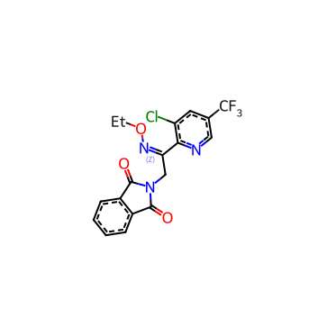 CCO/N=C(/CN1C(=O)c2ccccc2C1=O)c1ncc(C(F)(F)F)cc1Cl